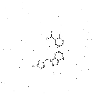 Fc1ccc(Cn2ncc3ncc(-c4ccc(F)c(C(F)F)c4)cc32)s1